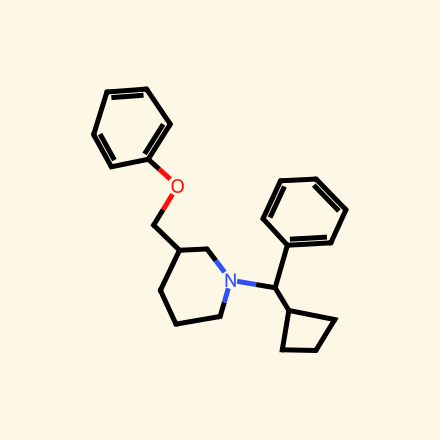 c1ccc(OCC2CCCN(C(c3ccccc3)C3CCC3)C2)cc1